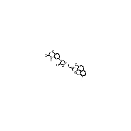 O=C1CSc2ccc(N3C[C@H](CCNC[C@@H]4Cc5c(F)ccc6ccc(=O)n4c56)OC3=O)cc2N1